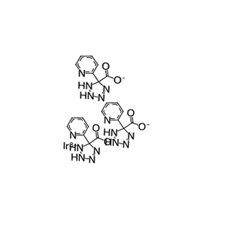 O=C([O-])C1(c2ccccn2)N=NNN1.O=C([O-])C1(c2ccccn2)N=NNN1.O=C([O-])C1(c2ccccn2)N=NNN1.[Ir+3]